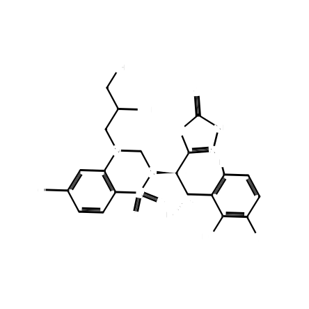 Cc1ccc(F)c([C@H](C)[C@H](c2n[nH]c(=O)o2)N2CN(CC(O)CO)c3cc(Cl)ccc3S2(=O)=O)c1C